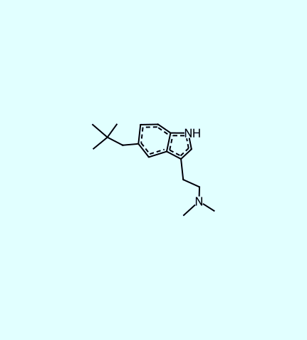 CN(C)CCc1c[nH]c2ccc(CC(C)(C)C)cc12